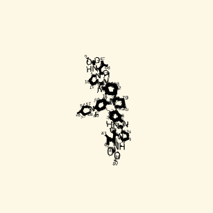 COC(=O)N[C@H](C(=O)N1CCC[C@H]1c1nc2cc([C@H]3CC[C@H](c4ccc5[nH]c([C@@H]6CCCN6C(=O)[C@@H](NC(=O)OC)C(C)C)nc5c4)N3c3ccc(N4CCC(C)CC4)c(F)c3)ccc2[nH]1)C(C)C